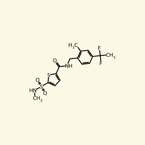 CNS(=O)(=O)c1ccc(C(=O)NCc2ccc(C(C)(F)F)cc2C)s1